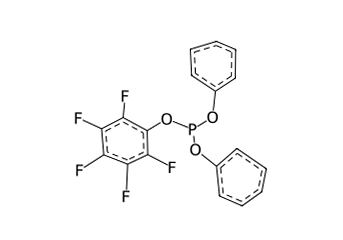 Fc1c(F)c(F)c(OP(Oc2ccccc2)Oc2ccccc2)c(F)c1F